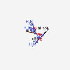 CCCCCCC/C=C\CCCCCCCCN(CCCNC(=O)C(CCCNCCCN)NCCCC)CCOCCOCCN(CCCCCCCC/C=C\CCCCCCC)CCCNC(=O)C(CCCNCCCN)NCCCN